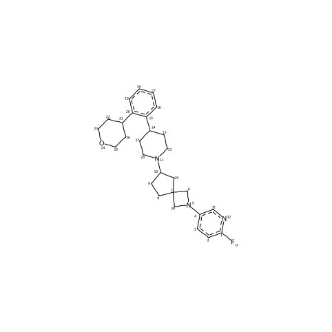 Fc1ccc(N2CC3(CCC(N4CCC(c5ccccc5C5CCOCC5)CC4)C3)C2)cn1